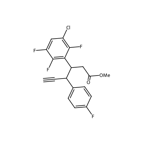 C#CC(c1ccc(F)cc1)C(CC(=O)OC)c1c(F)c(F)cc(Cl)c1F